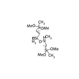 CO[Si](C)(/C=C/[SiH](C)O[SiH](C)/C=C/[Si](C)(OC)OC)OC